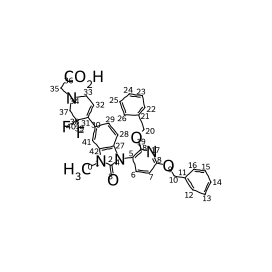 Cn1c(=O)n(-c2ccc(OCc3ccccc3)nc2OCc2ccccc2)c2ccc(C3=CCN(CC(=O)O)CC3(F)F)cc21